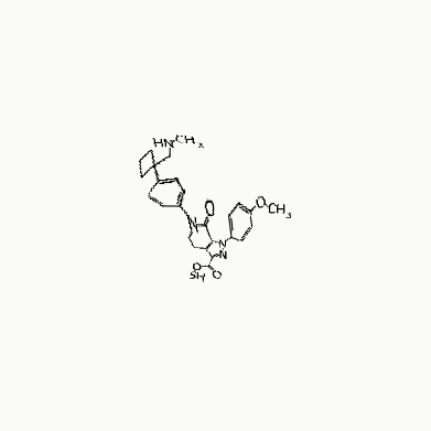 CNCC1(c2ccc(N3CCc4c(C(=O)OS)nn(-c5ccc(OC)cc5)c4C3=O)cc2)CCC1